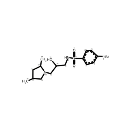 CCCCc1ccc(S(=O)(=O)NCC(O)CN2CC(C)CC2C)cc1